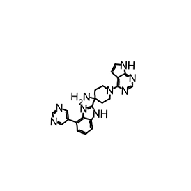 NC1(c2nc3c(-c4cncnc4)cccc3[nH]2)CCN(c2ncnc3[nH]ccc23)CC1